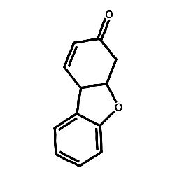 O=C1C=CC2c3ccccc3OC2C1